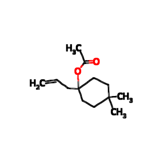 C=CCC1(OC(C)=O)CCC(C)(C)CC1